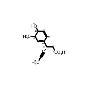 CC#C[C@@H](CC(=O)O)C1=CC(C)C(O)C=C1